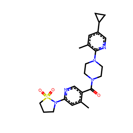 Cc1cc(N2CCCS2(=O)=O)ncc1C(=O)N1CCN(c2ncc(C3CC3)cc2C)CC1